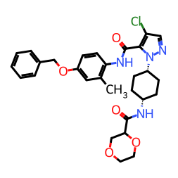 Cc1cc(OCc2ccccc2)ccc1NC(=O)c1c(Cl)cnn1[C@H]1CC[C@@H](NC(=O)C2COCCO2)CC1